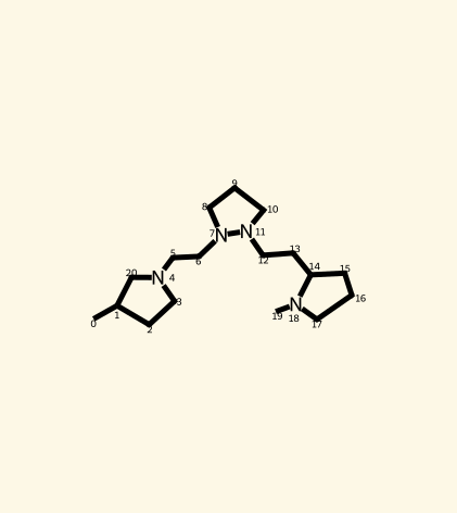 CC1CCN(CCN2CCCN2CCC2CCCN2C)C1